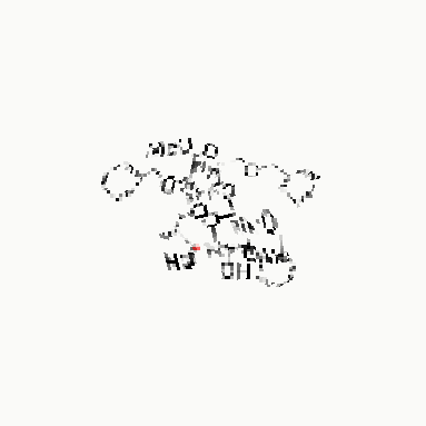 CO[C@H]1O[C@H](COCc2ccccc2)[C@@H](O[C@@H]2O[C@@H](CO)[C@@H](O)[C@H](OC)[C@H]2OCc2ccccc2)[C@H](OCc2ccccc2)[C@H]1OCc1ccccc1